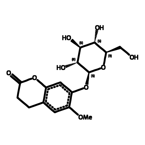 COc1cc2c(cc1O[C@@H]1O[C@H](CO)[C@@H](O)[C@H](O)[C@H]1O)OC(=O)CC2